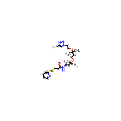 CCCc1cn(CCOC(C)(C)CCOC(C)(C)CCNC(=O)CCSSc2ccccn2)nn1